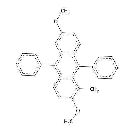 COc1ccc2c(-c3ccccc3)c3c(C)c(OC)ccc3c(-c3ccccc3)c2c1